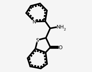 NC(c1ccccn1)C1Sc2ccccc2C1=O